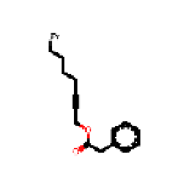 CC(C)CCCCC#CCOC(=O)Cc1ccccc1